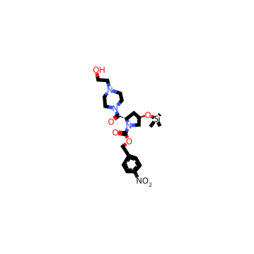 C[Si](C)(C)O[C@@H]1C[C@@H](C(=O)N2CCN(CCO)CC2)N(C(=O)OCc2ccc([N+](=O)[O-])cc2)C1